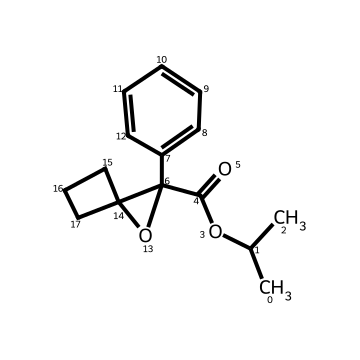 CC(C)OC(=O)C1(c2ccccc2)OC12CCC2